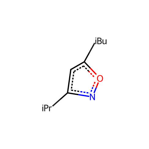 CCC(C)c1cc(C(C)C)no1